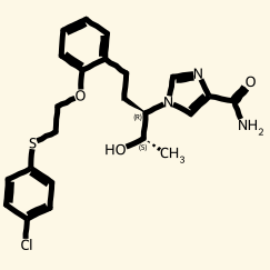 C[C@H](O)[C@@H](CCc1ccccc1OCCSc1ccc(Cl)cc1)n1cnc(C(N)=O)c1